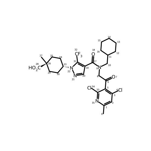 Cc1cc(Cl)c(C(=O)CN(CC2CCCCC2)C(=O)c2cnn([C@H]3CC[C@](C)(C(=O)O)CC3)c2C(F)(F)F)c(Cl)n1